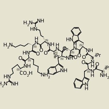 CC(C)[C@H](N)C(=O)N[C@@H](Cc1c[nH]c2ccccc12)C(=O)N[C@H](C(=O)N[C@@H](Cc1c[nH]c2ccccc12)C(=O)N[C@H](C(=O)N[C@@H](Cc1c[nH]c2ccccc12)C(=O)N[C@H](C(=O)N[C@@H](CCCNC(=N)N)C(=O)N[C@@H](CCCCN)C(=O)N[C@@H](CCCCN)C(=O)N[C@@H](CCCNC(=N)N)C(=O)O)C(C)C)C(C)C)C(C)C